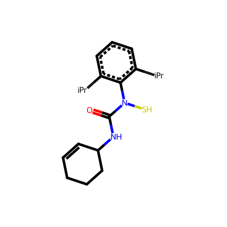 CC(C)c1cccc(C(C)C)c1N(S)C(=O)NC1C=CCCC1